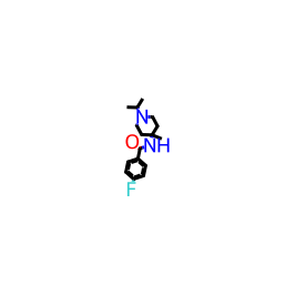 CC(C)N1CCC(C)(NC(=O)c2ccc(F)cc2)CC1